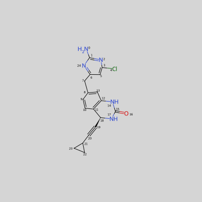 Nc1nc(Cl)cc(Cc2ccc3c(c2)NC(=O)N[C@H]3C#CC2CC2)n1